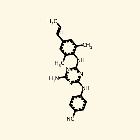 C/C=C/c1cc(C)c(Nc2nc(N)nc(Nc3ccc(C#N)cc3)n2)c(C)c1